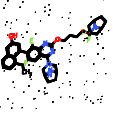 CCc1cccc2cc(O)cc(-c3c(F)cc4c(N5CC6CCC(C5)N6)nc(OCCCCCN5C6CCC5CC(F)(F)C6)nc4c3F)c12